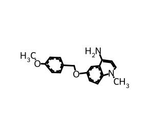 COc1ccc(COc2ccc3c(c2)C(N)=C=CN3C)cc1